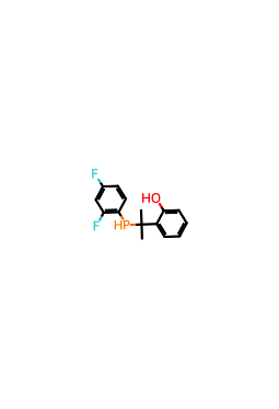 CC(C)(Pc1ccc(F)cc1F)c1ccccc1O